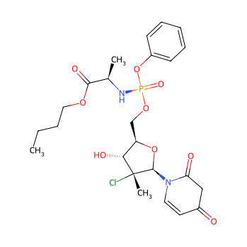 CCCCOC(=O)[C@@H](C)N[P@@](=O)(OC[C@H]1O[C@@H](N2C=CC(=O)CC2=O)[C@](C)(Cl)[C@@H]1O)Oc1ccccc1